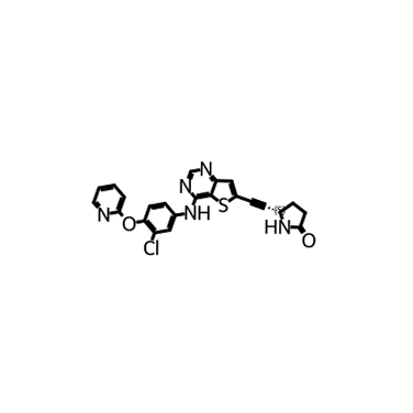 O=C1CC[C@@H](C#Cc2cc3ncnc(Nc4ccc(Oc5ccccn5)c(Cl)c4)c3s2)N1